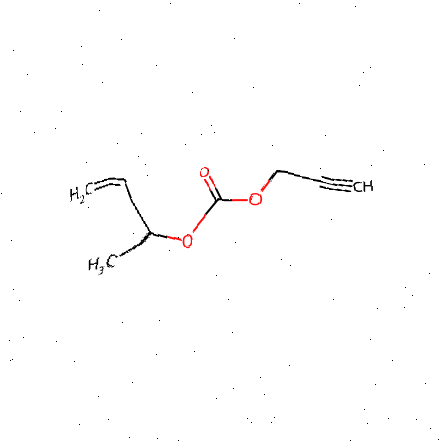 C#CCOC(=O)OC(C)C=C